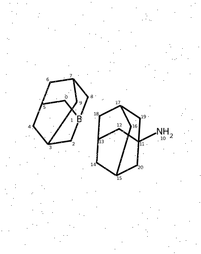 C1B2CC3CC1CC(C2)C3.NC12CC3CC(CC(C3)C1)C2